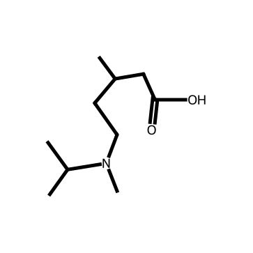 CC(CCN(C)C(C)C)CC(=O)O